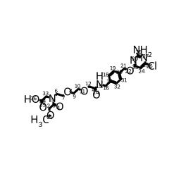 COCC(=O)N(CCOCCOCC(=O)NCc1ccc(COc2cc(Cl)nc(N)n2)cc1)CC(=O)O